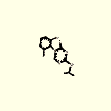 Cc1cccc(Br)c1-n1cnc(NC(C)C)nc1=O